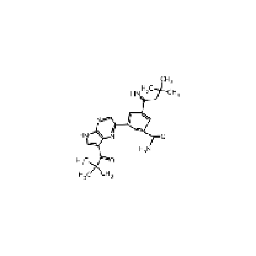 CC(C)(C)CC(=N)c1cc(C(N)=O)cc(-c2cnc3[nH]cc(C(=O)C(C)(C)C)c3n2)c1